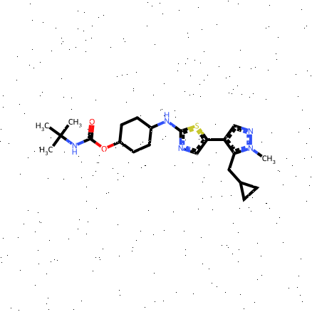 Cn1ncc(-c2cnc(NC3CCC(OC(=O)NC(C)(C)C)CC3)s2)c1CC1CC1